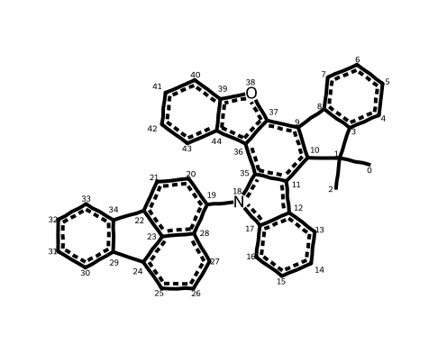 CC1(C)c2ccccc2-c2c1c1c3ccccc3n(-c3ccc4c5c(cccc35)-c3ccccc3-4)c1c1c2oc2ccccc21